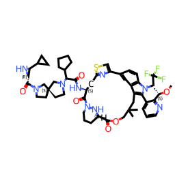 CO[C@@H](C)c1ncccc1-c1c2c3cc(ccc3n1CC(F)(F)F)-c1csc(n1)C[C@H](NC(=O)C(C1CCCC1)N1CC[C@]3(CCN(C(=O)[C@@H]4NC4C4CC4)C3)C1)C(=O)N1CCC[C@H](N1)C(=O)OCC(C)(C)C2